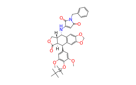 COc1cc([C@@H]2c3cc4c(cc3[C@@H](NC3=CC(=O)N(Cc5ccccc5)C3=O)[C@H]3COC(=O)[C@H]23)OCO4)cc(OC)c1O[Si](C)(C)C(C)(C)C